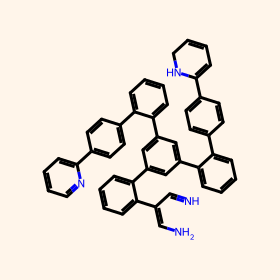 N=C/C(=C\N)c1ccccc1-c1cc(-c2ccccc2-c2ccc(C3=CC=CCN3)cc2)cc(-c2ccccc2-c2ccc(-c3ccccn3)cc2)c1